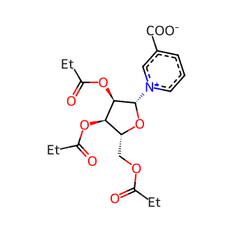 CCC(=O)OC[C@H]1O[C@@H]([n+]2cccc(C(=O)[O-])c2)[C@H](OC(=O)CC)[C@@H]1OC(=O)CC